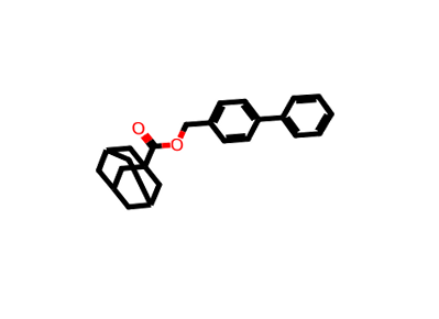 O=C(OCc1ccc(-c2ccccc2)cc1)C12CC3CC(CC(C3)C1)C2